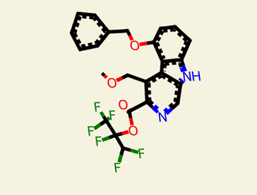 COCc1c(C(=O)OC(F)(C(F)F)C(F)(F)F)ncc2[nH]c3cccc(OCc4ccccc4)c3c12